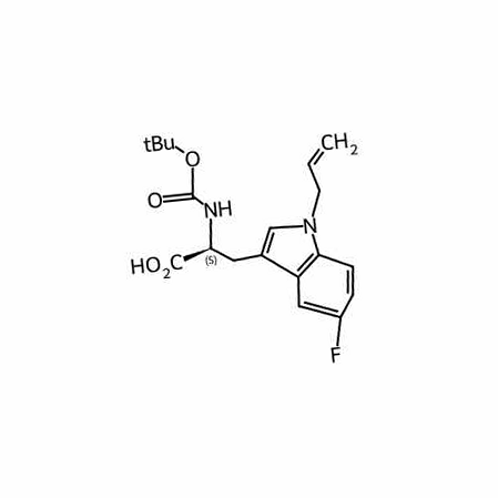 C=CCn1cc(C[C@H](NC(=O)OC(C)(C)C)C(=O)O)c2cc(F)ccc21